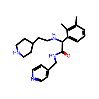 Cc1cccc(C(NCCC2CCNCC2)C(=O)NCc2ccncc2)c1C